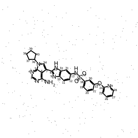 Nc1ncnc2c1c(-c1nc3ccc(NS(=O)(=O)c4cccc(Oc5ccccn5)c4)cc3[nH]1)cn2C1CCCC1